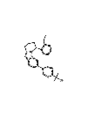 COc1ccccc1[C@@H]1CCCc2nc3ccc(-c4cnc(C(C)(C)O)nc4)cn3c21